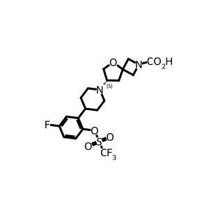 O=C(O)N1CC2(C[C@H](N3CCC(c4cc(F)ccc4OS(=O)(=O)C(F)(F)F)CC3)CO2)C1